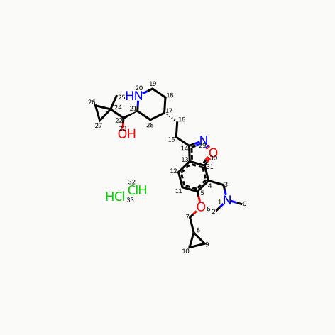 CN(C)Cc1c(OCC2CC2)ccc2c(CC[C@H]3CCN[C@H](C(O)C4(C)CC4)C3)noc12.Cl.Cl